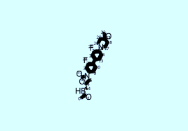 CC(=O)BC[C@H]1CN(c2ccc(-c3ccc(N4CCC5(CC4)CO5)c(F)c3)c(F)c2)C(=O)O1